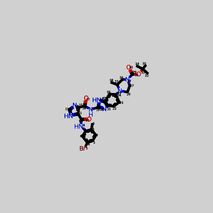 Cc1ccc(Br)cc1NC(=O)c1[nH]cnc1C(=O)Nc1nc2ccc(N3CCN(C(=O)OC(C)(C)C)CC3C)cc2[nH]1